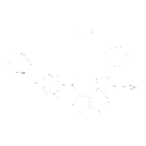 N#Cc1c(C2CCNCC2)[nH]c2c1cnc1[nH]cc(C(=O)c3ccc(Oc4ccccc4)cc3Cl)c12.O=CO